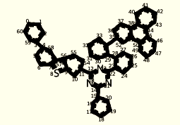 c1ccc(-c2ccc3sc4cc(-c5nc(-c6ccccc6)nc(-c6ccccc6-c6ccccc6-c6ccc7c8ccccc8c8ccccc8c7c6)n5)ccc4c3c2)cc1